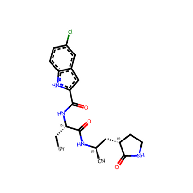 CC(C)C[C@H](NC(=O)c1cc2cc(Cl)ccc2[nH]1)C(=O)N[C@H](C#N)C[C@@H]1CCNC1=O